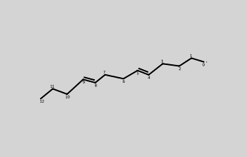 [CH2]CCC/C=C/CC/C=C/CCC